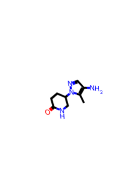 Cc1c(N)cnn1C1CCC(=O)NC1